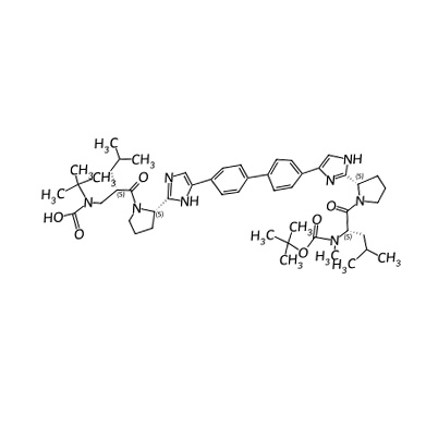 CC(C)C[C@@H](CN(C(=O)O)C(C)(C)C)C(=O)N1CCC[C@H]1c1ncc(-c2ccc(-c3ccc(-c4c[nH]c([C@@H]5CCCN5C(=O)[C@H](CC(C)C)N(C)C(=O)OC(C)(C)C)n4)cc3)cc2)[nH]1